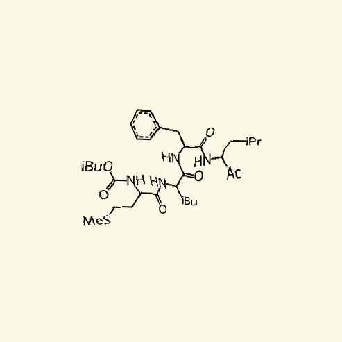 CCC(C)C(NC(=O)C(CCSC)NC(=O)OCC(C)C)C(=O)NC(Cc1ccccc1)C(=O)NC(CC(C)C)C(C)=O